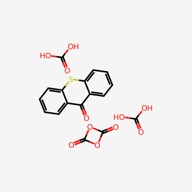 O=C(O)O.O=C(O)O.O=C1OC(=O)O1.O=c1c2ccccc2sc2ccccc12